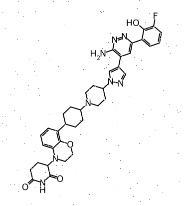 Nc1nnc(-c2cccc(F)c2O)cc1-c1cnn(C2CCN(C3CCC(c4cccc5c4OCCN5C4CCC(=O)NC4=O)CC3)CC2)c1